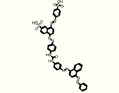 O=C(Nc1ccc(/N=N/c2ccc(/N=N/c3ccccc3)c3ccccc23)cc1)Nc1ccc(/N=N/c2ccc(/N=N/c3ccc(S(=O)(=O)O)cc3)c3cc(S(=O)(=O)O)ccc23)cc1